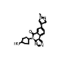 Cn1cc(-c2ccc3c(c2)c(=O)n(C2CCC(O)CC2)c2ncncc32)cn1